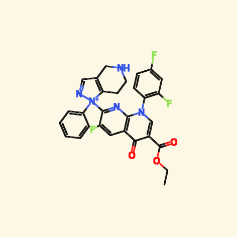 CCOC(=O)c1cn(-c2ccc(F)cc2F)c2nc([N+]3(c4ccccc4)N=CC4=C3CCNC4)c(F)cc2c1=O